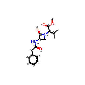 COC(=O)C(C(C)C)N1CC(NC(=O)Cc2ccccc2)C1=O